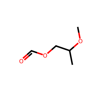 COC(C)COC=O